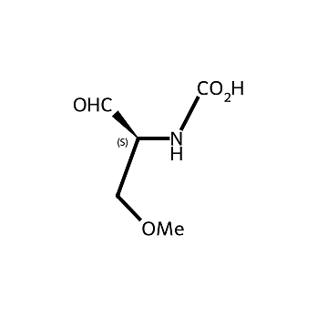 COC[C@@H](C=O)NC(=O)O